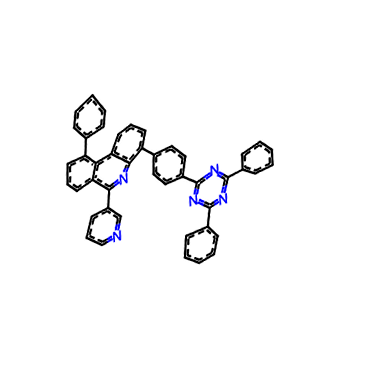 c1ccc(-c2nc(-c3ccccc3)nc(-c3ccc(-c4cccc5c4nc(-c4cccnc4)c4cccc(-c6ccccc6)c45)cc3)n2)cc1